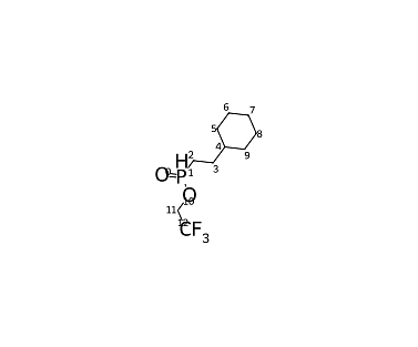 O=[PH](CCC1CCCCC1)OCC(F)(F)F